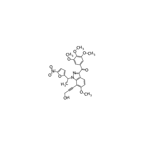 COc1cc(C(=O)c2nn(C(C)c3ccc([N+](=O)[O-])o3)c3c(C#CCO)c(OC)ccc23)cc(OC)c1OC